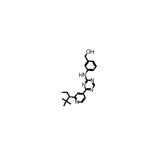 [CH2]CC(c1cc(-c2ncnc(Nc3cccc(CO)c3)n2)ccn1)C(C)(C)C